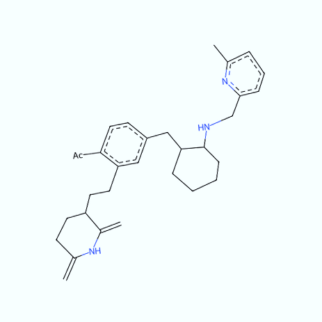 C=C1CCC(CCc2cc(CC3CCCCC3NCc3cccc(C)n3)ccc2C(C)=O)C(=C)N1